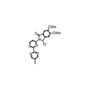 CCC1c2cc(OC)c(OC)cc2C(=O)N1c1ccnc(-c2ncc(F)cn2)n1